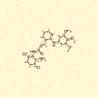 COc1cc(Nc2ncccc2/C=C/C(=O)Nc2c(Cl)ccc(Cl)c2N)cc(OC)c1OC